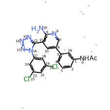 CC(=O)Nc1cccc(-c2cnc(N)c(-c3nnnn3-c3cc(Cl)cc(Cl)c3)c2)c1